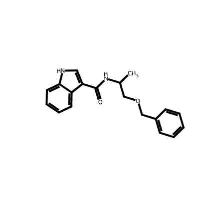 CC(COCc1ccccc1)NC(=O)c1c[nH]c2ccccc12